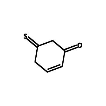 O=C1C=CCC(=S)C1